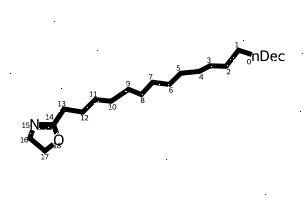 CCCCCCCCCCCCCCCCCCCCCCCC1=NCCO1